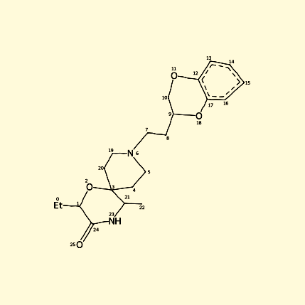 CCC1OC2(CCN(CCC3COc4ccccc4O3)CC2)C(C)NC1=O